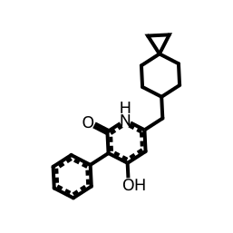 O=c1[nH]c(CC2CCC3(CC2)CC3)cc(O)c1-c1ccccc1